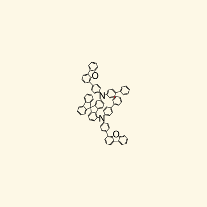 c1ccc(-c2ccc(N(c3ccc(-c4cccc5c4oc4ccccc45)cc3)c3ccc4c(c3)C3(c5ccccc5-c5ccccc53)c3cccc(N(c5ccc(-c6ccccc6)cc5)c5ccc(-c6cccc7c6oc6ccccc67)cc5)c3-4)cc2)cc1